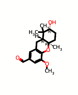 COc1cc(C=O)cc2c1O[C@]1(C)CC[C@@H](O)C(C)(C)[C@H]1C2